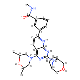 CNC(=O)c1cccc(-c2ccc3c(N4CC(C)OC(C)C4)nc(N4C5CCC4COC5)nc3n2)c1